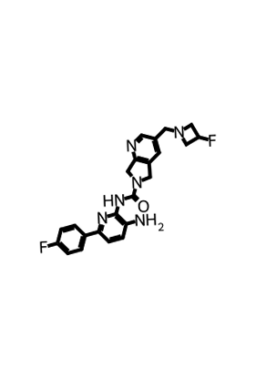 Nc1ccc(-c2ccc(F)cc2)nc1NC(=O)N1Cc2cc(CN3CC(F)C3)cnc2C1